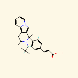 CC1Cc2c(cn3ccccc23)C(C)(c2c(F)cc(/C=C/C(=O)O)cc2F)N1CC(C)(C)F